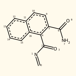 C=NC(=O)c1c(C(N)=O)ccc2ccccc12